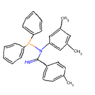 Cc1ccc(C(=N)N(c2cc(C)cc(C)c2)P(c2ccccc2)c2ccccc2)cc1